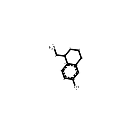 NCC1CCCc2cc(O)ccc21